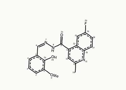 COc1cccc(/C=N\NC(=O)c2cc(C)nc3ccc(F)cc23)c1O